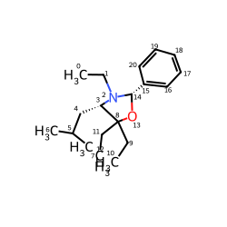 CCN1[C@@H](CC(C)C)C(CC)(CC)O[C@H]1c1ccccc1